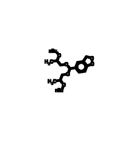 CCCCOC(C)COC(OCC(C)OCCCC)c1ccc2c(c1)COO2